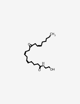 CCCCC/C=C\CC1OC1C/C=C\C/C=C\CCCC(=O)NCCO